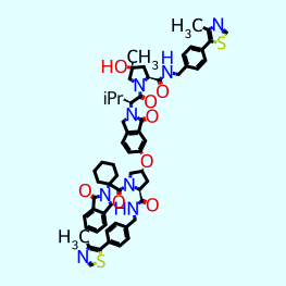 Cc1ncsc1-c1ccc(CNC(=O)[C@@H]2C[C@](C)(O)CN2C(=O)[C@H](C(C)C)N2Cc3ccc(O[C@@H]4C[C@@H](C(=O)NCc5ccc(-c6scnc6C)cc5)N(C(=O)C5(N6Cc7ccccc7C6=O)CCCCC5)C4)cc3C2=O)cc1